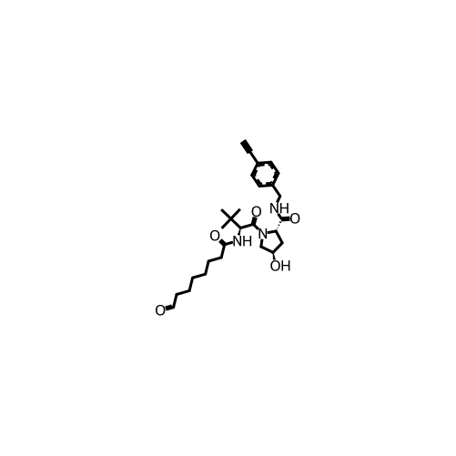 C#Cc1ccc(CNC(=O)[C@@H]2C[C@@H](O)CN2C(=O)[C@@H](NC(=O)CCCCCCC=O)C(C)(C)C)cc1